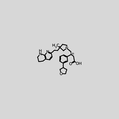 C[C@@]1(CCc2ccc3c(n2)NCCC3)CCN(C[C@@H](CC(=O)O)c2cccc(C3CCOC3)c2)C1